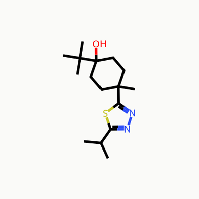 CC(C)c1nnc(C2(C)CCC(O)(C(C)(C)C)CC2)s1